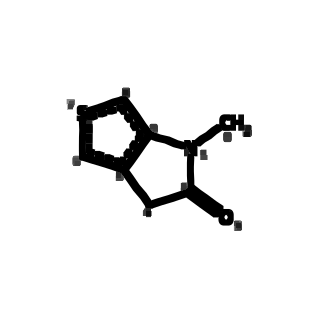 CN1C(=O)Cc2cscc21